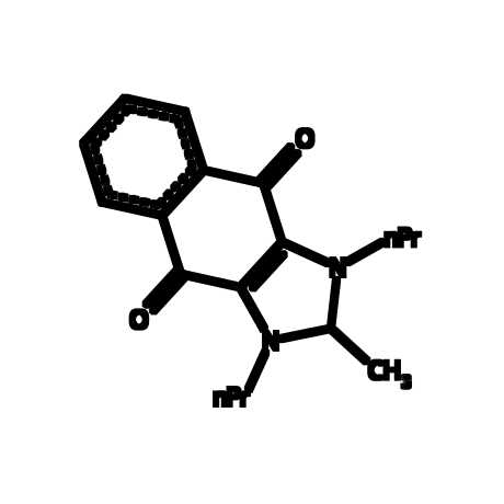 CCCN1C2=C(C(=O)c3ccccc3C2=O)N(CCC)C1C